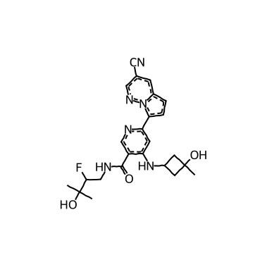 CC1(O)CC(Nc2cc(-c3ccc4cc(C#N)cnn34)ncc2C(=O)NCC(F)C(C)(C)O)C1